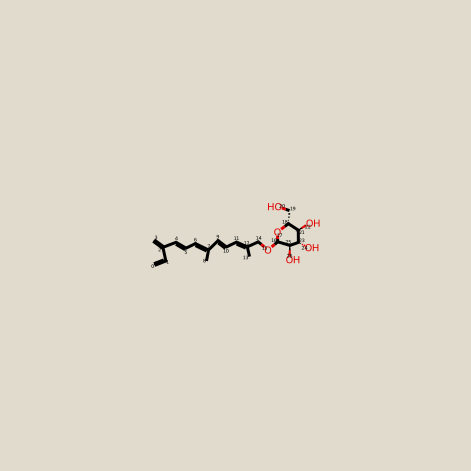 C=CC(=C)/C=C/C=C(C)/C=C/C=C(\C)COC1O[C@H](CO)[C@@H](O)[C@H](O)[C@H]1O